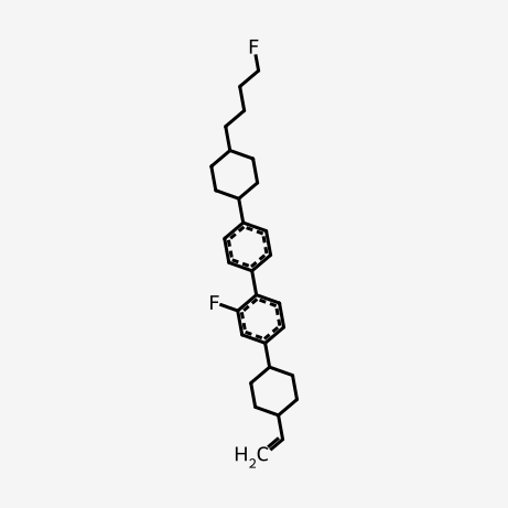 C=CC1CCC(c2ccc(-c3ccc(C4CCC(CCCCF)CC4)cc3)c(F)c2)CC1